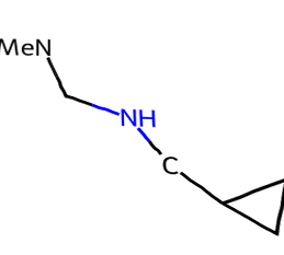 CNCNCC1CC1